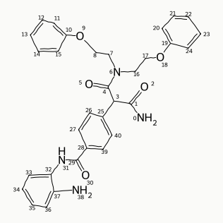 NC(=O)C(C(=O)N(CCOc1ccccc1)CCOc1ccccc1)c1ccc(C(=O)Nc2ccccc2N)cc1